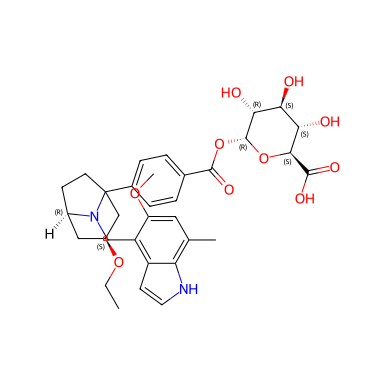 CCO[C@H]1C[C@H]2CCC(c3ccc(C(=O)O[C@H]4O[C@H](C(=O)O)[C@@H](O)[C@H](O)[C@H]4O)cc3)(C1)N2Cc1c(OC)cc(C)c2[nH]ccc12